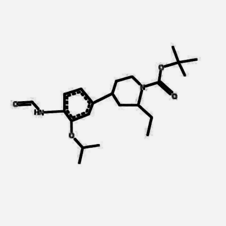 CCC1CC(c2ccc(NC=O)c(OC(C)C)c2)CCN1C(=O)OC(C)(C)C